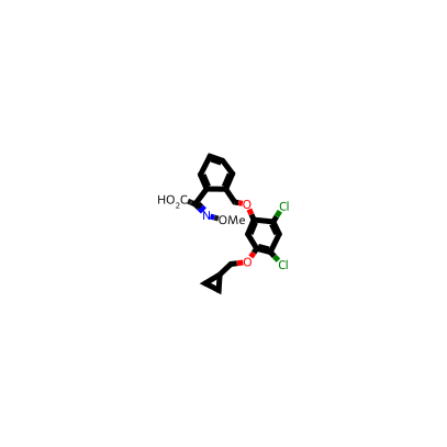 CO/N=C(/C(=O)O)c1ccccc1COc1cc(OCC2CC2)c(Cl)cc1Cl